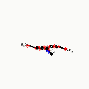 C=CC(=O)OCCCCCCOc1ccc(OC(=O)[C@H]2CC[C@H](C(=O)Oc3ccc(OC(=O)[C@H]4CC[C@H](C(=O)Oc5ccc(OCCCCCCOC(=O)C=C)cc5)CC4)c(/C=N\N(C(=C)C)c4nc5ccccc5s4)c3)CC2)cc1